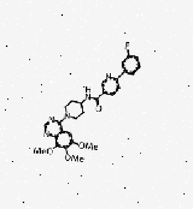 COc1cc2c(N3CCC(NC(=O)c4ccc(-c5cccc(F)c5)nc4)CC3)ncnc2c(OC)c1OC